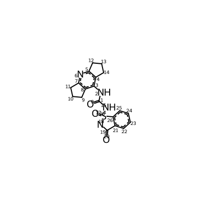 O=C(Nc1c2c(nc3c1CCC3)CCC2)NS1(=O)=NC(=O)c2ccccc21